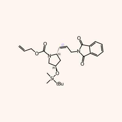 C=CCOC(=O)N1C[C@H](O[Si](C)(C)C(C)(C)C)C[C@H]1/C=C\CN1C(=O)c2ccccc2C1=O